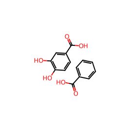 O=C(O)c1ccc(O)c(O)c1.O=C(O)c1ccccc1